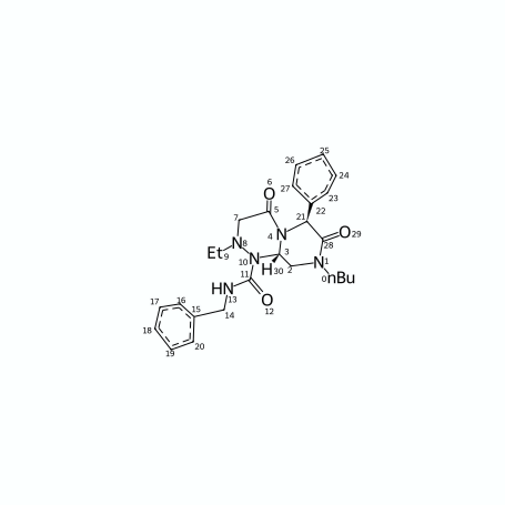 CCCCN1C[C@H]2N(C(=O)CN(CC)N2C(=O)NCc2ccccc2)[C@@H](c2ccccc2)C1=O